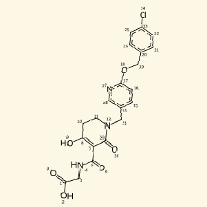 O=C(O)CNC(=O)C1=C(O)CCN(Cc2ccc(OCc3ccc(Cl)cc3)nc2)C1=O